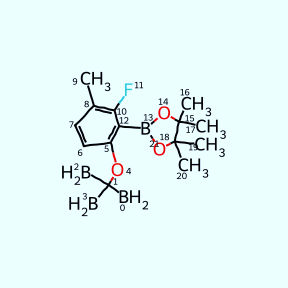 BC(B)(B)Oc1ccc(C)c(F)c1B1OC(C)(C)C(C)(C)O1